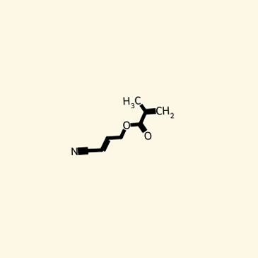 C=C(C)C(=O)OCC=CC#N